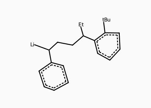 [Li][CH](CCC(CC)c1ccccc1C(C)(C)C)c1ccccc1